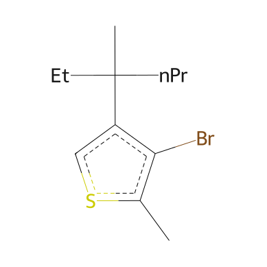 CCCC(C)(CC)c1csc(C)c1Br